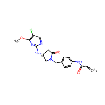 C=CC(=O)Nc1ccc(CN2C[C@H](Nc3ncc(Cl)c(OC)n3)CC2=O)cc1